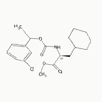 COC(=O)[C@H](CC1CCCCC1)NC(=O)OC(C)c1cccc(Cl)c1